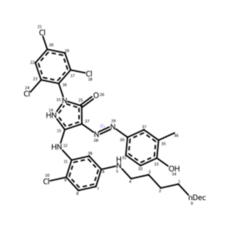 CCCCCCCCCCCCCCNc1ccc(Cl)c(Nc2[nH]n(-c3c(Cl)cc(Cl)cc3Cl)c(=O)c2/N=N/c2ccc(O)c(C)c2)c1